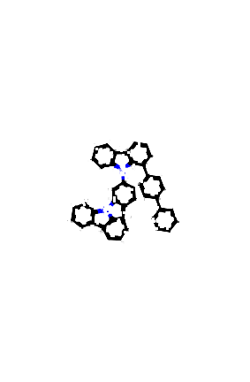 c1ccc(-c2ccc(-c3cccc4c5ccccc5n(-c5ccc6c7cccc8c9ccccc9n(c6c5)c87)c34)cc2)cc1